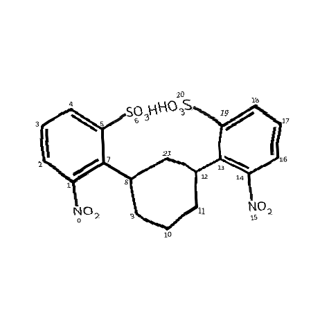 O=[N+]([O-])c1cccc(S(=O)(=O)O)c1C1CCCC(c2c([N+](=O)[O-])cccc2S(=O)(=O)O)C1